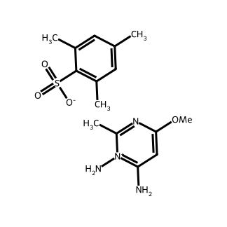 COc1cc(N)[n+](N)c(C)n1.Cc1cc(C)c(S(=O)(=O)[O-])c(C)c1